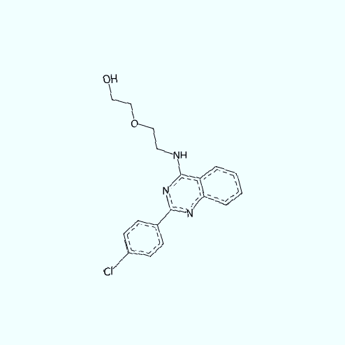 OCCOCCNc1nc(-c2ccc(Cl)cc2)nc2ccccc12